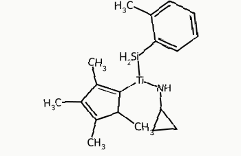 CC1=C(C)C(C)[C]([Ti]([NH]C2CC2)[SiH2]c2ccccc2C)=C1C